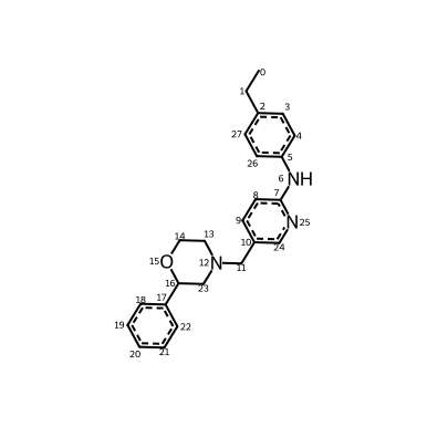 CCc1ccc(Nc2ccc(CN3CCOC(c4ccccc4)C3)cn2)cc1